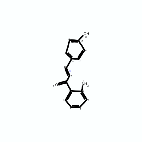 Nc1ccccc1C(=O)/C=C/c1ccc(O)cc1